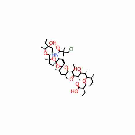 CCC(C(=O)[C@@H](C)[C@@H](O)[C@H](C)[C@@H]1O[C@@H]([C@@H](CC)C(=O)O)CC[C@@H]1C)[C@H]1O[C@]2(C=C[C@@H](NC(=O)C(C)(C)CCl)[C@]3(CC[C@@](C)([C@H]4CC[C@](O)(CC)[C@H](C)O4)O3)O2)[C@H](C)C[C@@H]1C